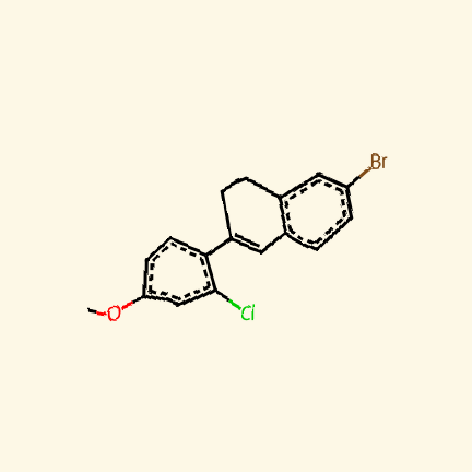 COc1ccc(C2=Cc3ccc(Br)cc3CC2)c(Cl)c1